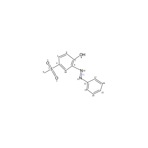 CS(=O)(=O)c1ccc(O)c(/N=N/c2ccccc2)c1